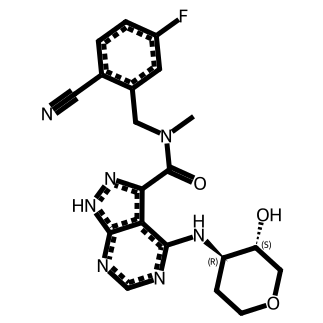 CN(Cc1cc(F)ccc1C#N)C(=O)c1n[nH]c2ncnc(N[C@@H]3CCOC[C@H]3O)c12